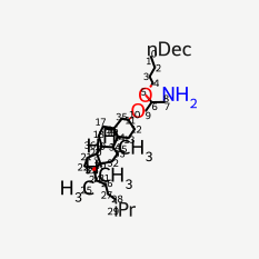 CCCCCCCCCCCCCCOC(CN)CO[C@H]1CC[C@@]2(C)C(=CC[C@H]3[C@@H]4CC[C@H]([C@H](C)CCCC(C)C)[C@@]4(C)CC[C@@H]32)C1